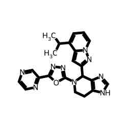 CC(C)c1cccn2nc(C3c4nc[nH]c4CCN3c3nnc(-c4cnccn4)o3)cc12